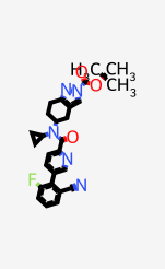 CC(C)(C)OC(=O)n1cc2c(n1)CCC(N(C(=O)c1ccc(-c3c(F)cccc3C#N)cn1)C1CC1)C2